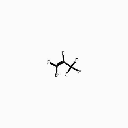 FC(Br)=C(F)C(F)(F)F